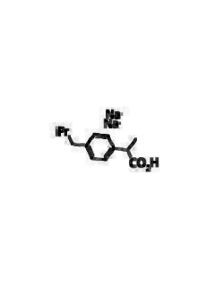 CC(C)Cc1ccc(C(C)C(=O)O)cc1.[Na].[Na]